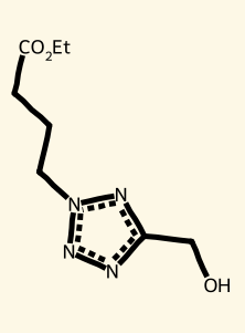 CCOC(=O)CCCn1nnc(CO)n1